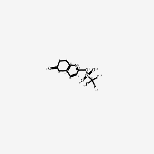 O=C1CCc2nc(OS(=O)(=O)C(F)(F)F)ccc2C1